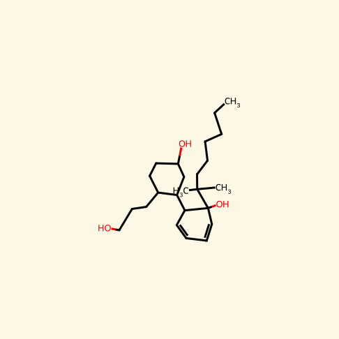 CCCCCCC(C)(C)C1(O)C=CC=CC1C1CC(O)CCC1CCCO